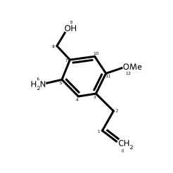 C=CCc1cc(N)c(CO)cc1OC